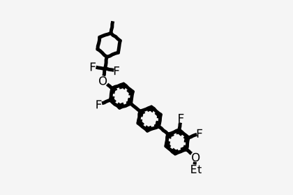 CCOc1ccc(-c2ccc(-c3ccc(OC(F)(F)C4CCC(C)CC4)c(F)c3)cc2)c(F)c1F